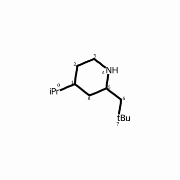 CC(C)C1CCNC(CC(C)(C)C)C1